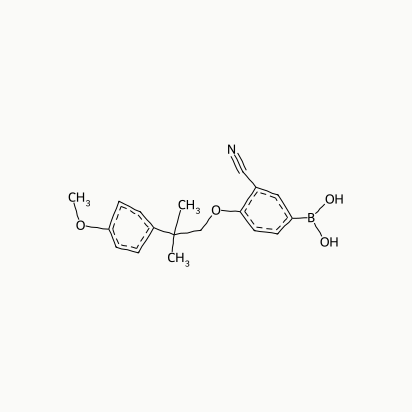 COc1ccc(C(C)(C)COc2ccc(B(O)O)cc2C#N)cc1